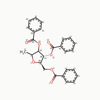 CC1O[C@H](COC(=O)c2ccccc2)[C@@H](OC(=O)c2ccccc2)C1OC(=O)c1ccccc1